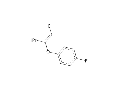 CC(C)C(=CCl)Oc1ccc(F)cc1